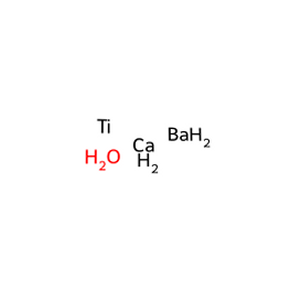 O.[BaH2].[CaH2].[Ti]